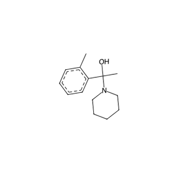 Cc1ccccc1C(C)(O)N1CCCCC1